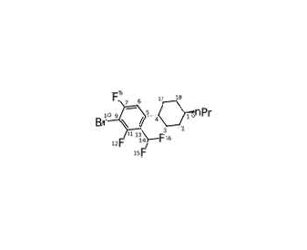 CCC[C@H]1CC[C@H](c2cc(F)c(Br)c(F)c2C(F)F)CC1